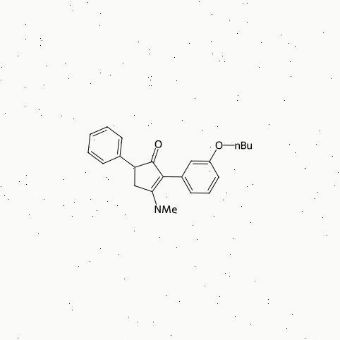 CCCCOc1cccc(C2=C(NC)CC(c3ccccc3)C2=O)c1